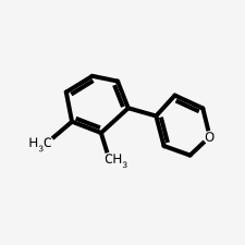 Cc1cccc(C2=CCOC=C2)c1C